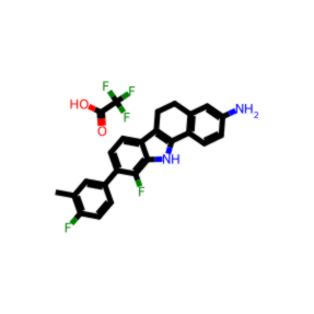 Cc1cc(-c2ccc3c4c([nH]c3c2F)-c2ccc(N)cc2CC4)ccc1F.O=C(O)C(F)(F)F